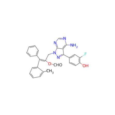 Cc1ccccc1/C(=C(/Cn1nc(-c2ccc(O)c(F)c2)c2c(N)ncnc21)OC=O)c1ccccc1